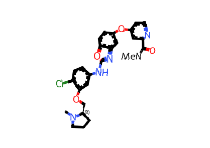 CNC(=O)c1cc(Oc2ccc3oc(Nc4ccc(Cl)c(OC[C@H]5CCCN5C)c4)nc3c2)ccn1